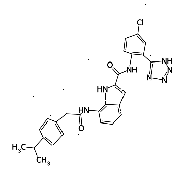 CC(C)c1ccc(CC(=O)Nc2cccc3cc(C(=O)Nc4ccc(Cl)cc4-c4nnn[nH]4)[nH]c23)cc1